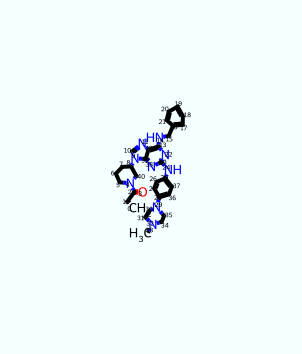 C=CC(=O)N1CCCC(n2cnc3c(NCc4ccccc4)nc(Nc4ccc(N5CCN(C)CC5)cc4)nc32)C1